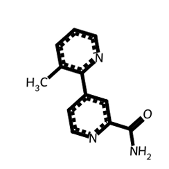 Cc1cccnc1-c1ccnc(C(N)=O)c1